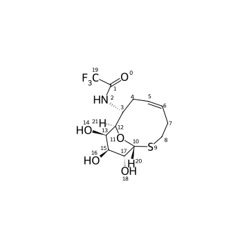 O=C(N[C@@H]1C/C=C\CCS[C@H]2O[C@H]1[C@H](O)[C@H](O)[C@H]2O)C(F)(F)F